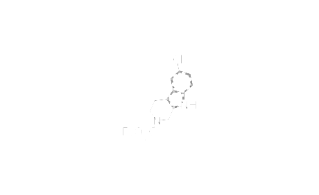 CCOC(=O)N1CCc2c([nH]c3ccc(Cl)cc23)C1